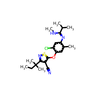 CCC(C)(C)c1nsc(Oc2cc(C)c(N=C(NC)C(C)C)cc2Cl)c1C#N